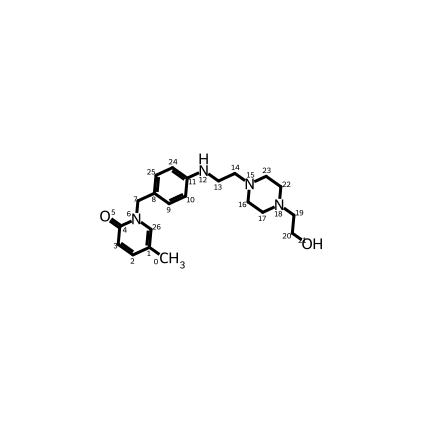 Cc1ccc(=O)n(Cc2ccc(NCCN3CCN(CCO)CC3)cc2)c1